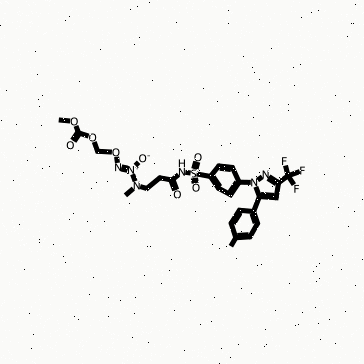 COC(=O)OCON=[N+]([O-])N(C)CCC(=O)NS(=O)(=O)c1ccc(-n2nc(C(F)(F)F)cc2-c2ccc(C)cc2)cc1